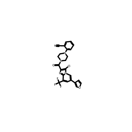 N#Cc1ccccc1N1CCN(C(=O)c2nc3c(C(F)(F)F)cc(-c4ccoc4)cn3c2Cl)CC1